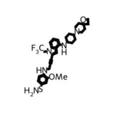 COc1cc(SN)ccc1NCC#Cc1cc2c(NC3CCC(N4CCC5(CCO5)CC4)CC3)cccc2n1CC(F)(F)F